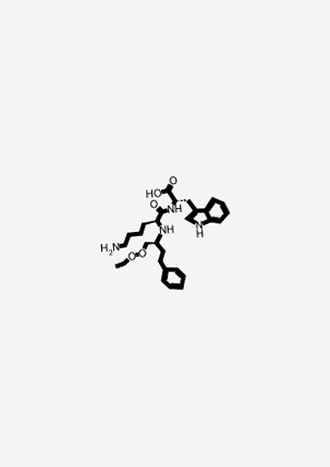 CCOOC[C@H](CCc1ccccc1)N[C@@H](CCCCN)C(=O)N[C@@H](Cc1c[nH]c2ccccc12)C(=O)O